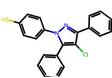 Sc1ccc(-n2nc(-c3ccccc3)c(Cl)c2-c2ccccc2)cc1